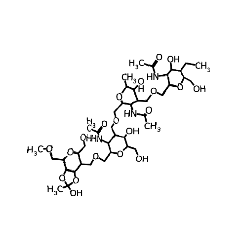 CCC1C(CO)OC(COCC2C(O)C(C)OC(COCC3C(O)C(CO)OC(COCC4C(CO)OC(COC)C5OC(C)(O)OC45)C3NC(C)=O)C2NC(C)=O)C(NC(C)=O)C1O